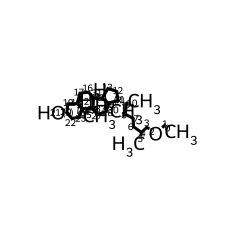 CCOCC(C)CCCC(C)[C@H]1CC[C@H]2[C@@H]3CC=C4C[C@@H](O)CC[C@]4(C)[C@H]3CC[C@]12C